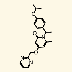 Cc1cc(OCc2ncccn2)cc(=O)n1[C@H](C)c1ccc(OC(C)C)cc1